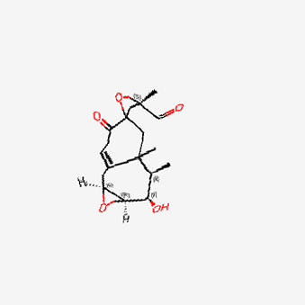 C[C@H]1[C@@H](O)[C@H]2O[C@H]2C2=CC(=O)C3(CC21C)O[C@]3(C)C=O